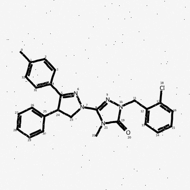 Cc1ccc(C2=NN(c3nn(Cc4ccccc4Cl)c(=O)n3C)CC2c2ccccc2)cc1